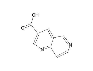 O=C(O)c1cnc2ccncc2c1